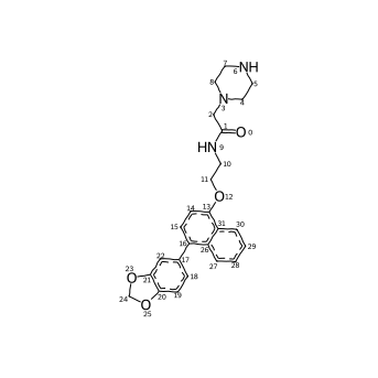 O=C(CN1CCNCC1)NCCOc1ccc(-c2ccc3c(c2)OCO3)c2ccccc12